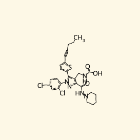 CCCC#Cc1ccc(-c2c(CNC(=O)O)c(C(=O)NN3CCCCC3)nn2-c2ccc(Cl)cc2Cl)s1